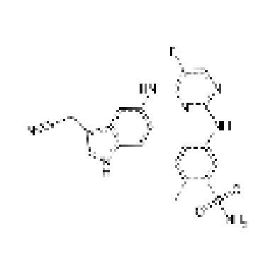 Cc1ccc(Nc2ncc(F)c(Nc3ccc4[nH]cc(CC#N)c4c3)n2)cc1S(N)(=O)=O